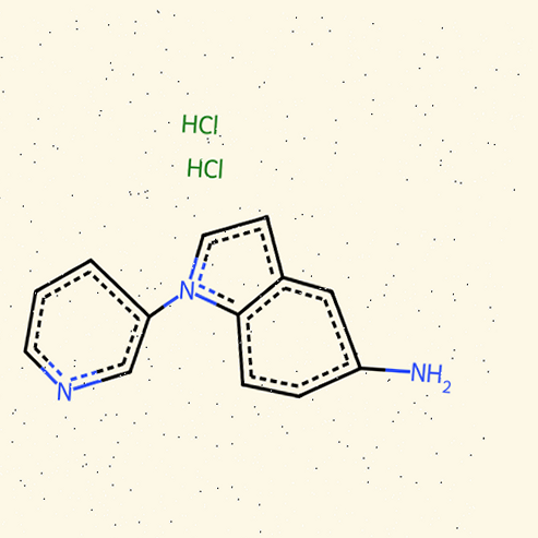 Cl.Cl.Nc1ccc2c(ccn2-c2cccnc2)c1